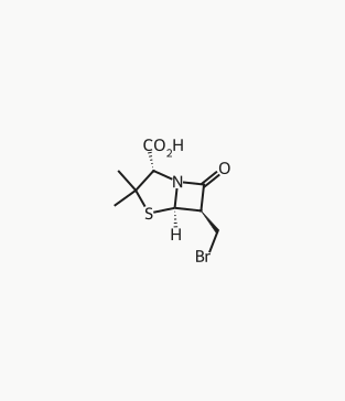 CC1(C)S[C@@H]2[C@H](CBr)C(=O)N2[C@H]1C(=O)O